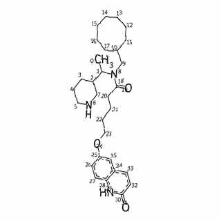 CC(C1CCCNC1)N(CC1CCCCCCC1)C(=O)CCCCOc1ccc2[nH]c(=O)ccc2c1